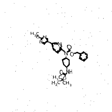 COc1ncc(-c2ccc(N(C(=O)OCc3ccccc3)[C@H]3CC[C@H](NC(=O)OC(C)(C)C)CC3)nc2)cn1